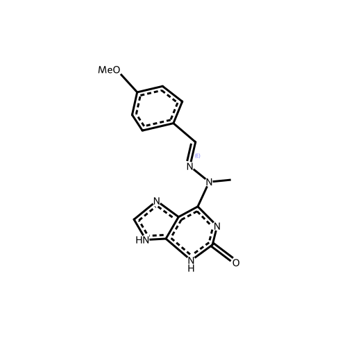 COc1ccc(/C=N/N(C)c2nc(=O)[nH]c3[nH]cnc23)cc1